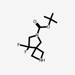 CC(C)(C)OC(=O)N1CC(F)(F)C2(CNC2)C1